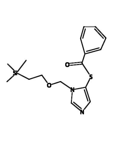 C[Si](C)(C)CCOCn1cncc1SC(=O)c1ccccc1